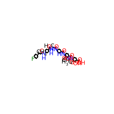 COc1c(NC(=O)c2ccc(NC(=O)c3ccc(NC(=O)[C@H](C)NC(=O)c4ccc(NC(=O)/C=C(\C)c5ccc(F)cc5)cc4)cc3)c(OC)c2O)ccc(C(=O)O)c1O